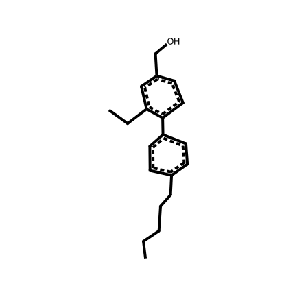 CCCCCc1ccc(-c2ccc(CO)cc2CC)cc1